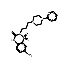 Nc1ccc2c(c1)S(=O)(=O)N(CCCN1CCN(c3ncccn3)CC1)C(=O)N2